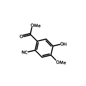 COC(=O)c1cc(O)c(OC)cc1C#N